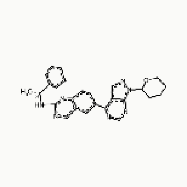 C[C@@H](Nc1ncc2cc(-c3ncnc4c3cnn4C3CCCCO3)ccc2n1)c1ccccc1